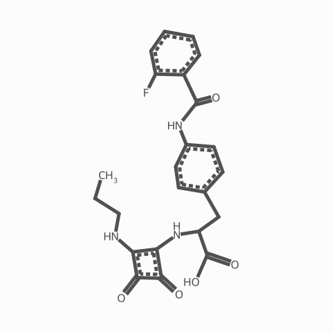 CCCNc1c(NC(Cc2ccc(NC(=O)c3ccccc3F)cc2)C(=O)O)c(=O)c1=O